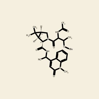 CC(OC(C)(C)C)C(NC(=O)C(F)(F)F)C(=O)N1C[C@H]2[C@@H]([C@H]1C(=O)NC(C#N)c1cc(=O)n(C)c3ccccc13)C2(C)C